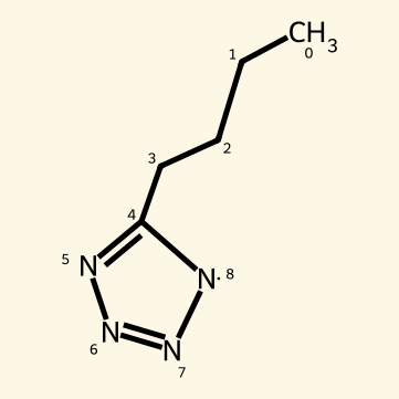 CCCCC1=NN=N[N]1